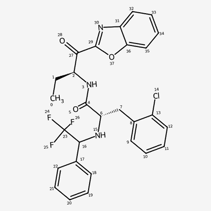 CC[C@H](NC(=O)[C@H](Cc1ccccc1Cl)NC(c1ccccc1)C(F)(F)F)C(=O)c1nc2ccccc2o1